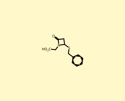 O=C(O)CN1C(=O)CC1SCc1ccccc1